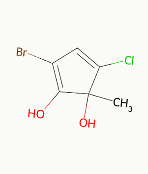 CC1(O)C(Cl)=CC(Br)=C1O